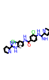 N=C(Nc1ccc(NC(=O)c2ccc(NC(=N)c3ccccn3)c(Cl)c2)cc1Cl)c1ccccn1